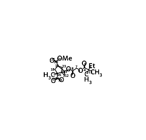 CCC(C)(C)C(=O)OCC(=O)OC1C2OC(=O)C3(C)CC1(C(=O)OC)CC23